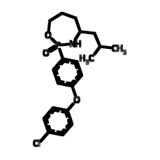 CC(C)CC1CCCOP(=O)(c2ccc(Oc3ccc(Cl)cc3)cc2)N1